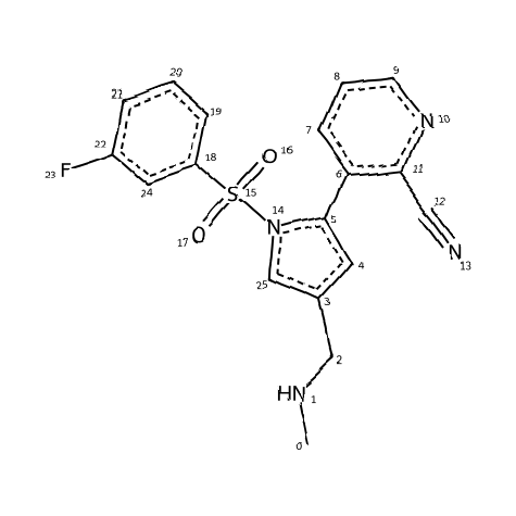 CNCc1cc(-c2cccnc2C#N)n(S(=O)(=O)c2cccc(F)c2)c1